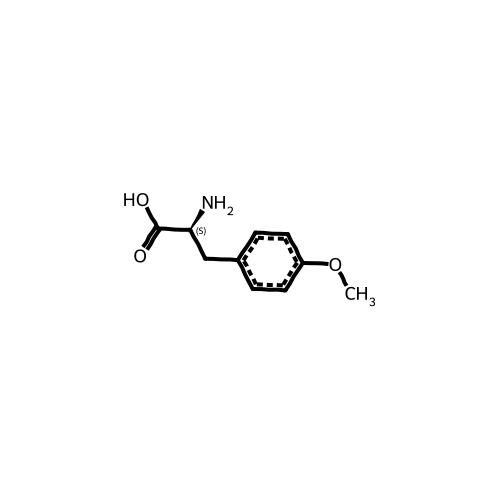 COc1ccc(C[C@H](N)C(=O)O)cc1